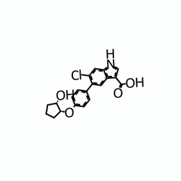 O=C(O)c1c[nH]c2cc(Cl)c(-c3ccc(O[C@H]4CCC[C@@H]4O)cc3)cc12